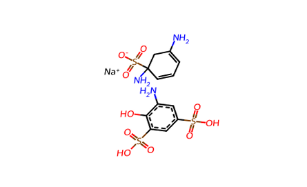 NC1=CC=CC(N)(S(=O)(=O)[O-])C1.Nc1cc(S(=O)(=O)O)cc(S(=O)(=O)O)c1O.[Na+]